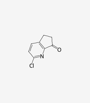 O=C1CCc2ccc(Cl)nc21